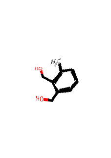 Cc1cccc(CO)c1CO